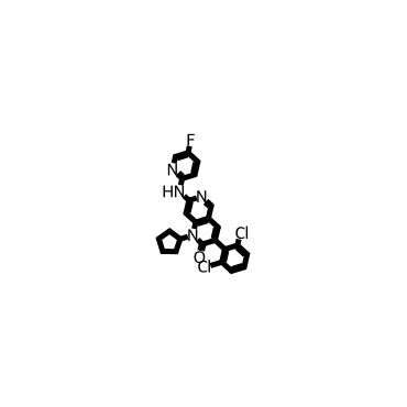 O=c1c(-c2c(Cl)cccc2Cl)cc2cnc(Nc3ccc(F)cn3)cc2n1C1CCCC1